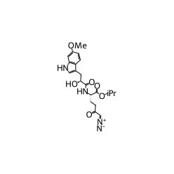 COc1ccc2c(C[C@H](O)C(=O)N[C@@H](CCC(=O)C=[N+]=[N-])C(=O)OC(C)C)c[nH]c2c1